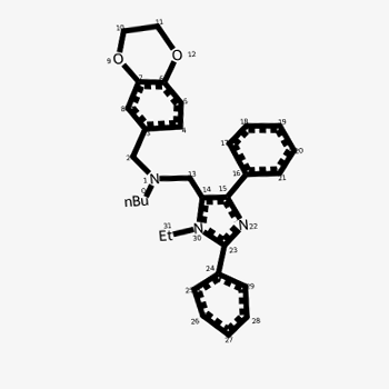 CCCCN(Cc1ccc2c(c1)OCCO2)Cc1c(-c2ccccc2)nc(-c2ccccc2)n1CC